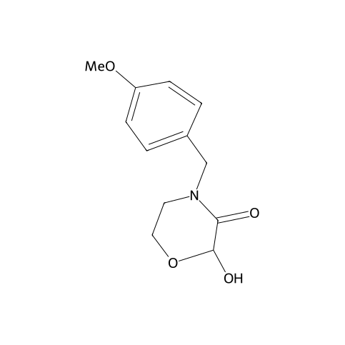 COc1ccc(CN2CCOC(O)C2=O)cc1